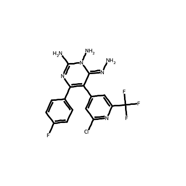 N/N=c1/c(-c2cc(Cl)nc(C(F)(F)F)c2)c(-c2ccc(F)cc2)nc(N)n1N